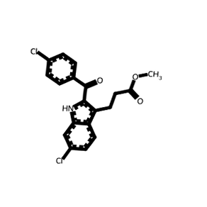 COC(=O)CCc1c(C(=O)c2ccc(Cl)cc2)[nH]c2cc(Cl)ccc12